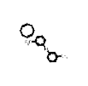 C1=CCCC=CCC1.FC(F)(F)c1ccc[c]([Pt][c]2cccc(C(F)(F)F)c2)c1